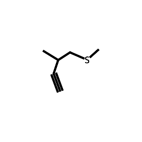 C#CC(C)CSC